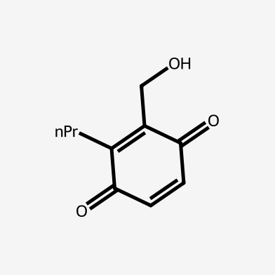 CCCC1=C(CO)C(=O)C=CC1=O